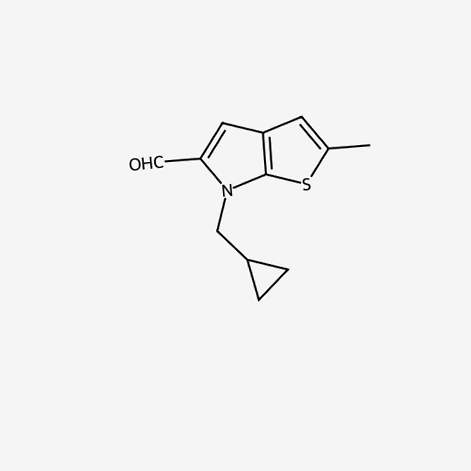 Cc1cc2cc(C=O)n(CC3CC3)c2s1